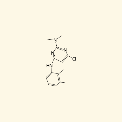 Cc1cccc(Nc2cc(Cl)nc(N(C)C)n2)c1C